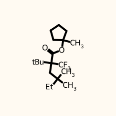 CCC(C)(C)CC(C(=O)OC1(C)CCCC1)(C(C)(C)C)C(F)(F)F